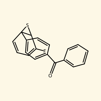 O=C(c1ccccc1)c1ccc(C23C=CC=C(F)C2S3)cc1